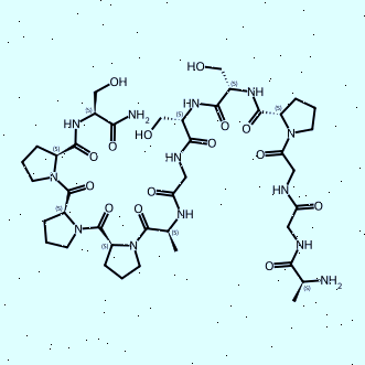 C[C@H](N)C(=O)NCC(=O)NCC(=O)N1CCC[C@H]1C(=O)N[C@@H](CO)C(=O)N[C@@H](CO)C(=O)NCC(=O)N[C@@H](C)C(=O)N1CCC[C@H]1C(=O)N1CCC[C@H]1C(=O)N1CCC[C@H]1C(=O)N[C@@H](CO)C(N)=O